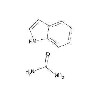 NC(N)=O.c1ccc2[nH]ccc2c1